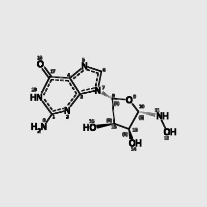 Nc1nc2c(ncn2[C@@H]2O[C@H](NO)[C@@H](O)[C@H]2O)c(=O)[nH]1